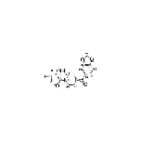 CC(C)(C)[C@H](N)C(=O)N1CCN(C(=O)c2ccc3c(c2)OCO3)CC1